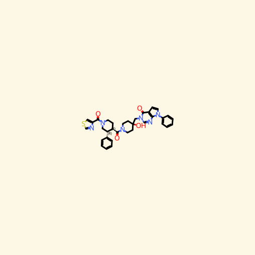 O=C(c1cscn1)N1CC[C@@H](C(=O)N2CCC(O)(Cn3cnc4c(ccn4-c4ccccc4)c3=O)CC2)[C@H](c2ccccc2)C1